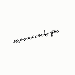 CC(C)(C)OC(=O)CCOCCOCCOCCOCCOCCOCCOCCOCCNC(=O)CCCCCNC=O